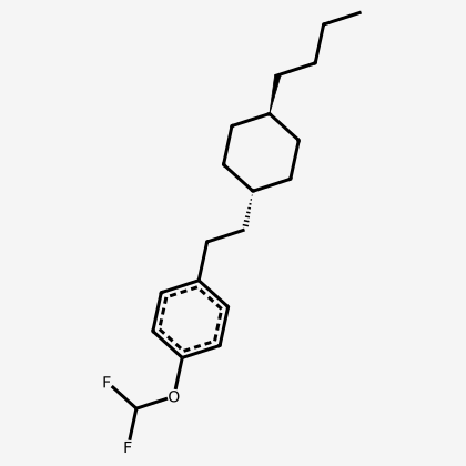 CCCC[C@H]1CC[C@H](CCc2ccc(OC(F)F)cc2)CC1